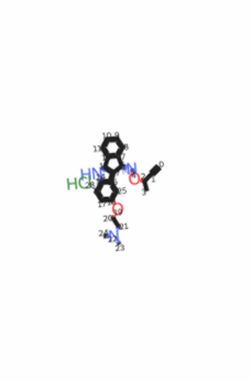 C#CC(C)O/N=C1/c2ccccc2-c2[nH]c3ccc(OCCN(C)C)cc3c21.Cl